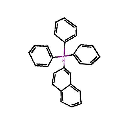 c1ccc([PH](c2ccccc2)(c2ccccc2)c2ccc3ccccc3c2)cc1